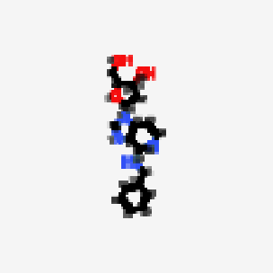 OCC1O[C@@H](n2cnc3c(NCc4ccccc4)nccc32)C[C@@H]1O